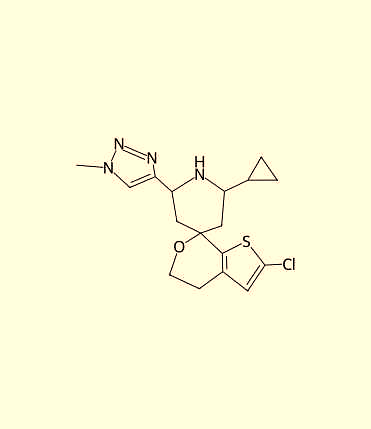 Cn1cc(C2CC3(CC(C4CC4)N2)OCCc2cc(Cl)sc23)nn1